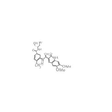 C=C(Nc1cc(C(=O)N[C@H](CO)CC(C)C)ccc1C)c1cc2cc(OC)c(OC)cc2[nH]c1=O